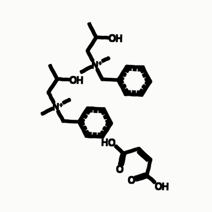 CC(O)C[N+](C)(C)Cc1ccccc1.CC(O)C[N+](C)(C)Cc1ccccc1.O=C(O)/C=C\C(=O)O